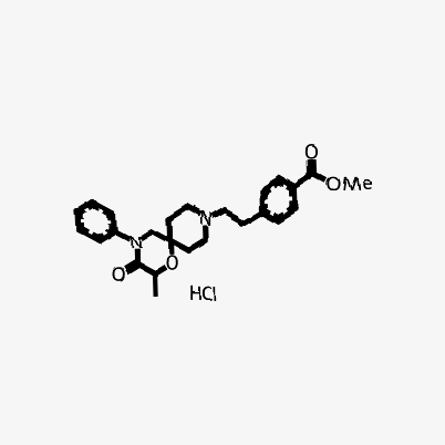 COC(=O)c1ccc(CCN2CCC3(CC2)CN(c2ccccc2)C(=O)C(C)O3)cc1.Cl